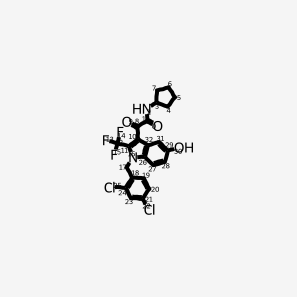 O=C(NC1CCCC1)C(=O)c1c(C(F)(F)F)n(Cc2ccc(Cl)cc2Cl)c2ccc(O)cc12